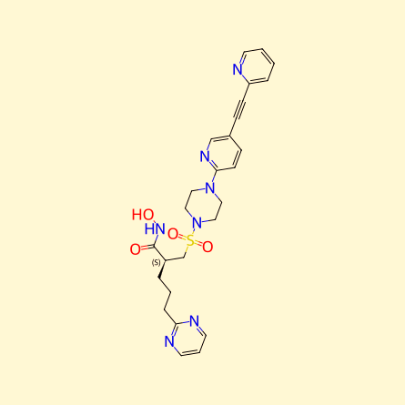 O=C(NO)[C@H](CCCc1ncccn1)CS(=O)(=O)N1CCN(c2ccc(C#Cc3ccccn3)cn2)CC1